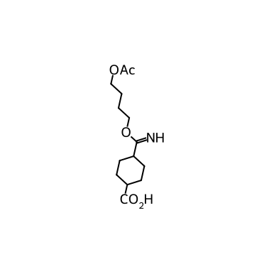 CC(=O)OCCCCOC(=N)C1CCC(C(=O)O)CC1